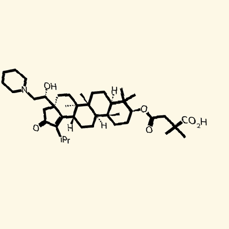 CC(C)C1=C2[C@H]3CC[C@@H]4[C@@]5(C)CC[C@H](OC(=O)CC(C)(C)C(=O)O)C(C)(C)[C@@H]5CC[C@@]4(C)[C@]3(C)CC[C@@]2([C@@H](O)CN2CCCCC2)CC1=O